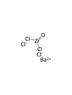 [Ba+2].[Cl-].[Cl-].[O]=[Zr]([Cl])[Cl]